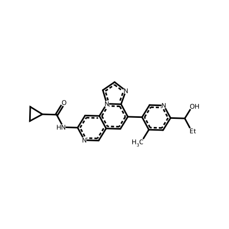 CCC(O)c1cc(C)c(-c2cc3cnc(NC(=O)C4CC4)cc3n3ccnc23)cn1